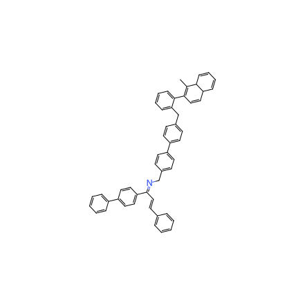 CC1=C(c2ccccc2Cc2ccc(-c3ccc(C/N=C(\C=C\c4ccccc4)c4ccc(-c5ccccc5)cc4)cc3)cc2)C=CC2C=CC=CC12